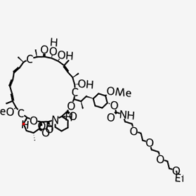 CCOCCOCCOCCOCCNC(=O)O[C@@H]1CC[C@@H](C[C@@H](C)C2C[C@@H](O)[C@H](C)/C=C(\C)[C@@H](O)[C@@H](O)C(=O)[C@H](C)C[C@H](C)/C=C/C=C/C=C(\C)[C@@H](OC)C[C@@H]3CC[C@@H](C)C(=O)C(O)(O3)C(=O)N3CCCC[C@H]3C(=O)O2)C[C@H]1OC